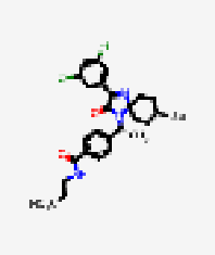 C[C@H](c1ccc(C(=O)NCCC(=O)O)cc1)N1C(=O)C(C2=CC(Cl)=CC(Cl)C2)=NC12CCC(C(C)(C)C)CC2